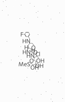 CSC1OC([C@H](NC(=O)[C@H]2NC[C@@H]3CC(NCc4cccc(F)c4)CCO[C@H]32)[C@H](C)Cl)C(O)C(O)C1O